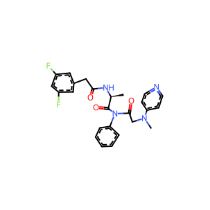 C[C@H](NC(=O)Cc1cc(F)cc(F)c1)C(=O)N(C(=O)CN(C)c1ccncc1)c1ccccc1